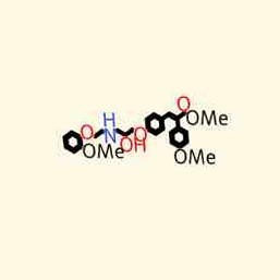 COC(=O)C(=Cc1ccc(OCC(O)CNCCOc2ccccc2OC)cc1)c1ccc(OC)cc1